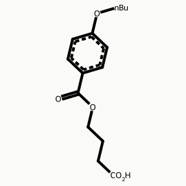 CCCCOc1ccc(C(=O)OCCCC(=O)O)cc1